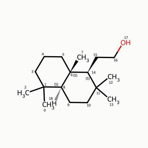 CC1(C)CCC[C@@]2(C)[C@H]1CCC(C)(C)[C@@H]2CCO